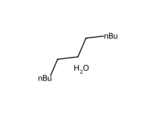 CCCCCCCCCCC.O